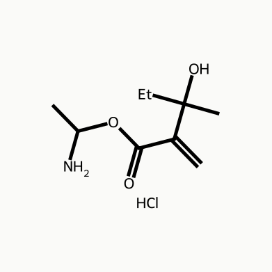 C=C(C(=O)OC(C)N)C(C)(O)CC.Cl